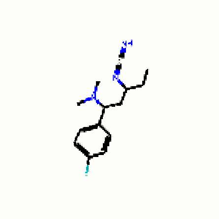 CCC(CC(c1ccc(F)cc1)N(C)C)N=C=N